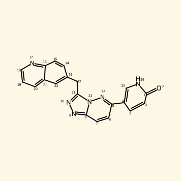 O=c1ccc(-c2ccc3nnc(Cc4ccc5ncccc5c4)n3n2)c[nH]1